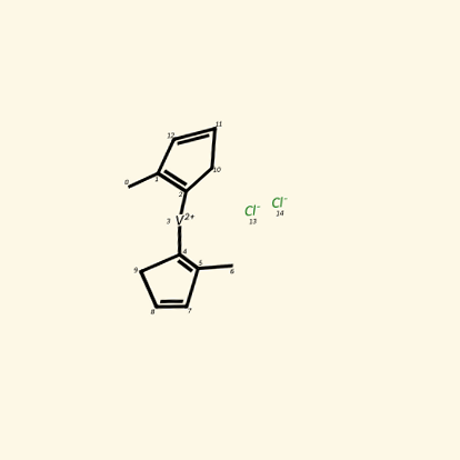 CC1=[C]([V+2][C]2=C(C)C=CC2)CC=C1.[Cl-].[Cl-]